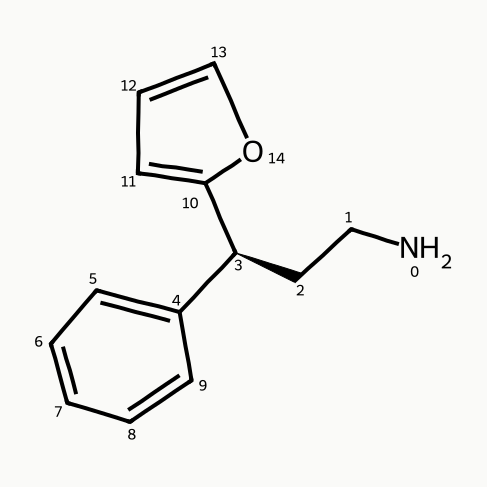 NCC[C@@H](c1ccccc1)c1ccco1